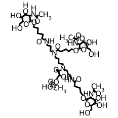 CC(=O)NC1[C@H](OCCCCC(=O)NCCCN(CCCCN(CCCNC(=O)CCCCO[C@@H]2OC(CO)[C@H](O)[C@H](O)C2NC(C)=O)C(=O)C(O)COP(C)(=O)O)C(=O)CCCCO[C@@H]2OC(CO)[C@H](O)[C@H](O)C2NC(C)=O)OC(CO)[C@H](O)[C@@H]1O